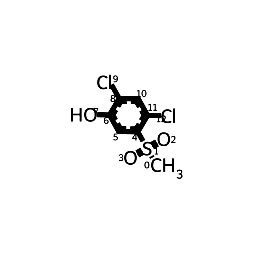 CS(=O)(=O)c1cc(O)c(Cl)cc1Cl